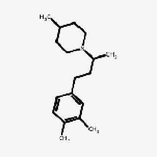 Cc1ccc(CCC(C)N2CCC(C)CC2)cc1C